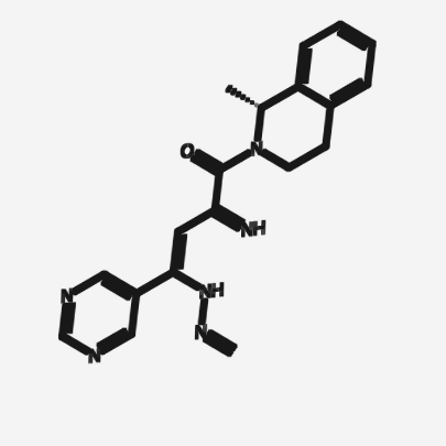 C=NN/C(=C\C(=N)C(=O)N1CCc2ccccc2[C@H]1C)c1cncnc1